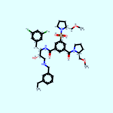 CCc1cccc(CNC[C@H](O)[C@H](Cc2cc(F)cc(F)c2)NC(=O)c2cc(C(=O)N3CCC[C@H]3COC)cc(S(=O)(=O)N3CCC[C@@H]3COC)c2)c1